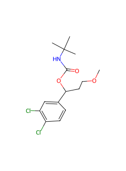 COCCC(OC(=O)NC(C)(C)C)c1ccc(Cl)c(Cl)c1